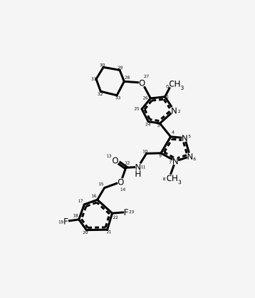 Cc1nc(-c2nnn(C)c2CNC(=O)OCc2cc(F)ccc2F)ccc1OC1CCCCC1